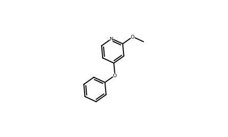 COc1cc(Oc2ccccc2)ccn1